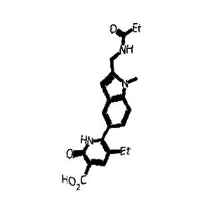 CCC(=O)NCc1cc2cc(-c3[nH]c(=O)c(C(=O)O)cc3CC)ccc2n1C